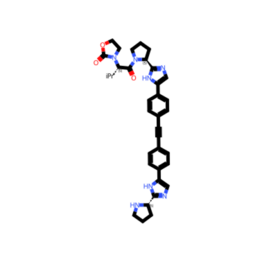 CC(C)[C@@H](C(=O)N1CCC[C@H]1c1ncc(-c2ccc(C#Cc3ccc(-c4cnc([C@@H]5CCCN5)[nH]4)cc3)cc2)[nH]1)N1CCOC1=O